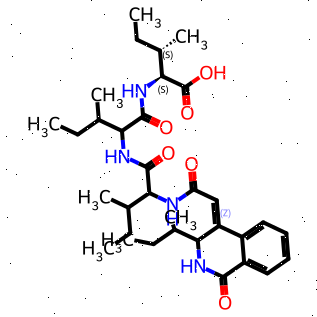 CCC(C)C(NC(=O)/C=C1/c2ccccc2C(=O)NC1C(C)CC)C(=O)NC(C(=O)N[C@H](C(=O)O)[C@@H](C)CC)C(C)CC